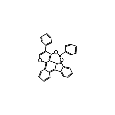 O=C(Oc1c(-c2ccccc2)coc2c3ccccc3c3c4ccccc4cc3c12)c1ccccc1